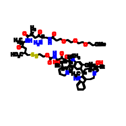 CC[C@]1(O)C[C@H]2CN(CCc3c([nH]c4ccccc34)[C@@](C)(c3cc4c(cc3OC)N(C)[C@H]3[C@@](O)(C(=O)CNC(=O)OCCSSCC(CC(=O)[C@H](C)NC(=O)[C@H](C)CC(=O)[C@@H](N)CNC(=O)CCOCCOCCOCCOC)C(=O)O)[C@H](O)[C@]5(CC)C=CCN6CC[C@]43[C@@H]65)C2)C1